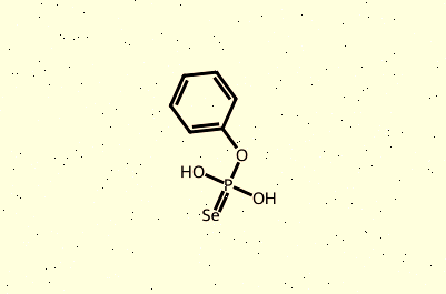 OP(O)(=[Se])Oc1ccccc1